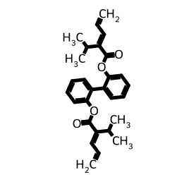 C=C/C=C(/C(=O)Oc1ccccc1-c1ccccc1OC(=O)/C(=C/C=C)C(C)C)C(C)C